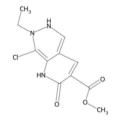 CCN1NC=c2cc(C(=O)OC)c(=O)[nH]c2=C1Cl